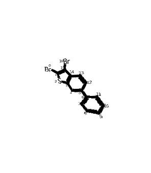 Brc1sc2cc(-c3ccccc3)ccc2c1Br